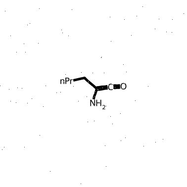 CCCCC(N)=C=O